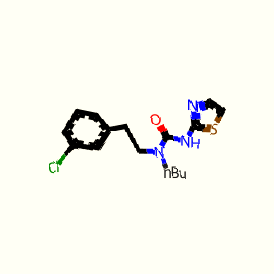 CCCCN(CCc1cccc(Cl)c1)C(=O)Nc1nccs1